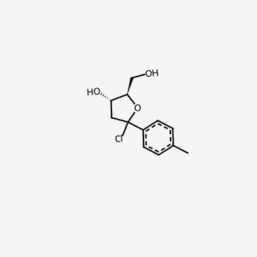 Cc1ccc(C2(Cl)C[C@H](O)[C@@H](CO)O2)cc1